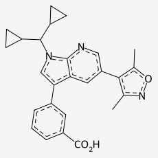 Cc1noc(C)c1-c1cnc2c(c1)c(-c1cccc(C(=O)O)c1)cn2C(C1CC1)C1CC1